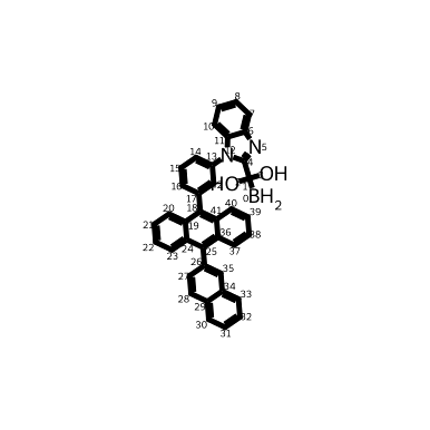 BC(O)(O)c1nc2ccccc2n1-c1cccc(-c2c3ccccc3c(-c3ccc4ccccc4c3)c3ccccc23)c1